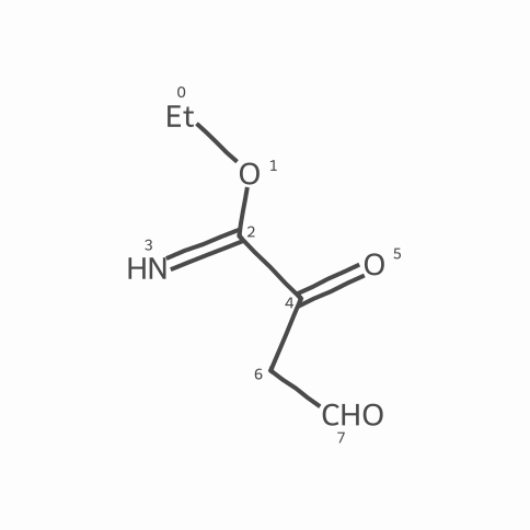 CCOC(=N)C(=O)CC=O